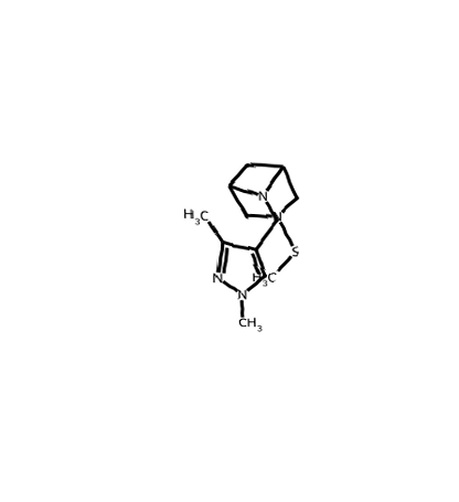 CSN1CC2CC(C1)N2Cc1cn(C)nc1C